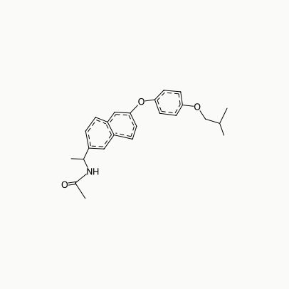 CC(=O)NC(C)c1ccc2cc(Oc3ccc(OCC(C)C)cc3)ccc2c1